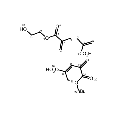 C=C(C)C(=O)O.C=C(C)C(=O)OCCO.C=C(C=C(C)C(=O)O)C(=O)OCCCC